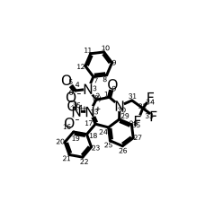 O=C1[C@H](N(C(=O)[O-])c2ccccc2)[N+]([N+](=O)[O-])=C(c2ccccc2)c2ccccc2N1CC(F)(F)F